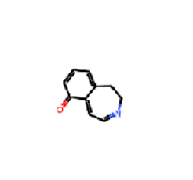 O=C1C=CC=C2CCN=CC=C12